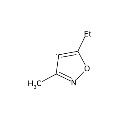 CCc1[c]c(C)no1